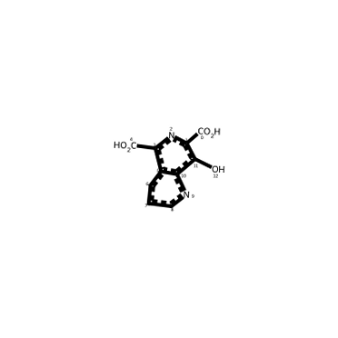 O=C(O)c1nc(C(=O)O)c2cccnc2c1O